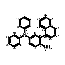 Nc1ccc(N(c2ccccc2)c2ccccc2)cc1-c1cccc2ccccc12